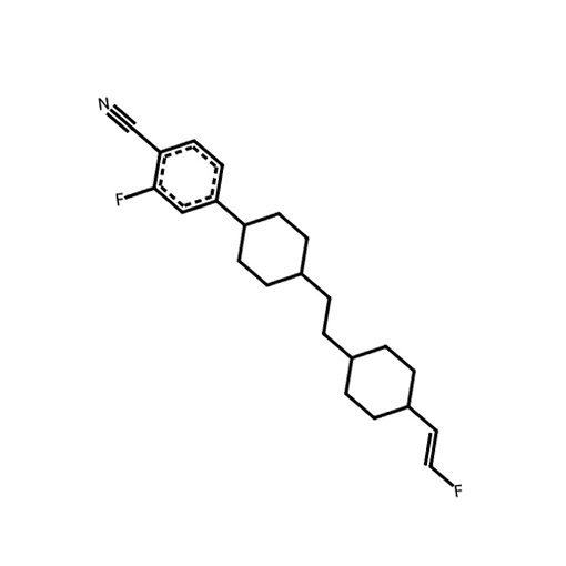 N#Cc1ccc(C2CCC(CCC3CCC(C=CF)CC3)CC2)cc1F